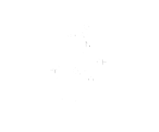 CC(CN=S(=O)=O)C(=O)Oc1ccccc1Br